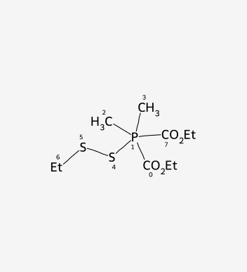 CCOC(=O)P(C)(C)(SSCC)C(=O)OCC